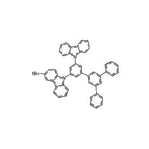 CC(C)(C)c1ccc2c(c1)c1ccccc1n2-c1cc(-c2cc(-c3ccccc3)cc(-c3ccccc3)c2)cc(-n2c3ccccc3c3ccccc32)c1